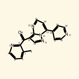 Cc1cccnc1C(=O)c1cnn2c(-c3ccncc3)ccnc12